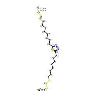 CCCCCCCCSSSCCCCCCCCc1nnc(CCCCCCCCSSSCCCCCCCC)s1